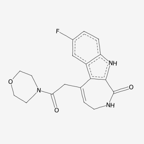 O=C1NCC=C(CC(=O)N2CCOCC2)c2c1[nH]c1ccc(F)cc21